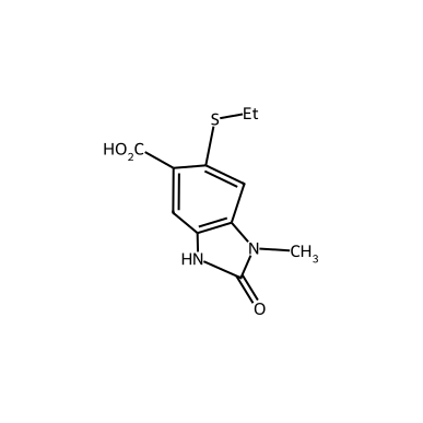 CCSc1cc2c(cc1C(=O)O)[nH]c(=O)n2C